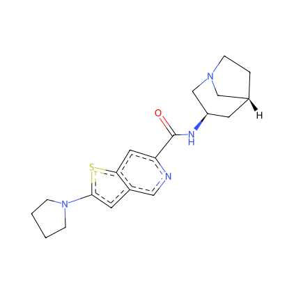 O=C(N[C@@H]1C[C@H]2CCN(C2)C1)c1cc2sc(N3CCCC3)cc2cn1